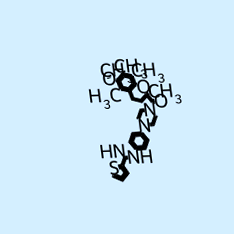 COc1c(C)c(C)c2c(c1C)CCC(C)(C(=O)N1CCN(c3ccc(NC(=N)c4cccs4)cc3)CC1)O2